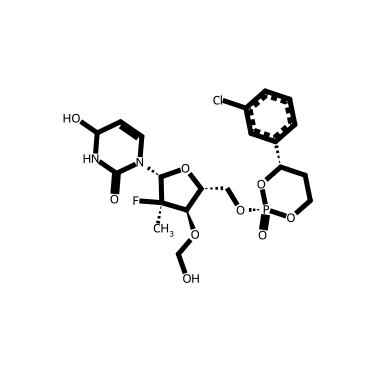 C[C@@]1(F)[C@H](OCO)[C@@H](CO[P@@]2(=O)OCC[C@@H](c3cccc(Cl)c3)O2)O[C@H]1N1C=CC(O)NC1=O